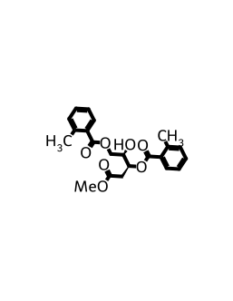 COC(=O)C[C@H](OC(=O)c1ccccc1C)[C@H](O)COC(=O)c1ccccc1C